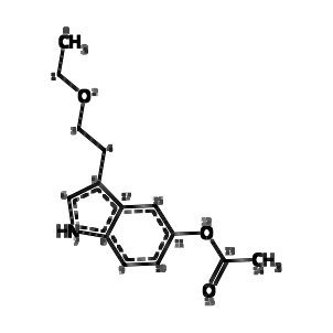 CCOCCc1c[nH]c2ccc(OC(C)=O)cc12